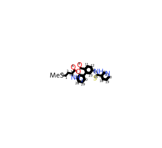 CSCC[C@H](N)C(=O)OC(=O)c1ccc(NC(=S)c2cccnc2)cc1-c1ccccc1